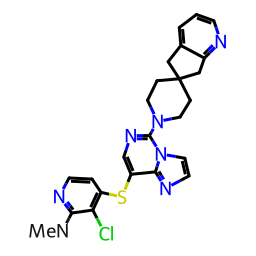 CNc1nccc(Sc2cnc(N3CCC4(CC3)Cc3cccnc3C4)n3ccnc23)c1Cl